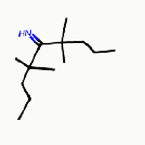 CCCC(C)(C)C(=N)C(C)(C)CCC